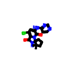 CC1(C)CCCC12NC(=O)c1c(Cl)cc(Nc3ccncn3)c(=O)n12